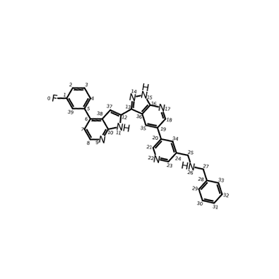 Fc1cccc(-c2ccnc3[nH]c(-c4n[nH]c5ncc(-c6cncc(CNCc7ccccc7)c6)cc45)cc23)c1